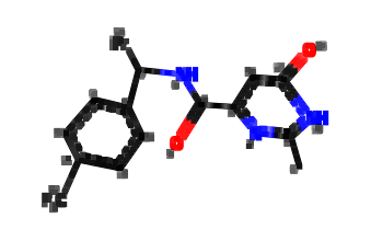 Cc1nc(C(=O)NC(c2ccc(C(F)(F)F)cc2)C(C)C)cc(=O)[nH]1